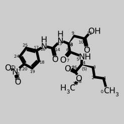 CCCC[C@H](NC(=O)[C@H](CC(=O)O)NC(=O)Nc1ccc([N+](=O)[O-])cc1)C(=O)OC